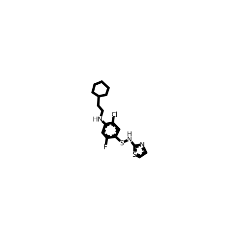 Fc1cc(NCCC2CCCCC2)c(Cl)cc1SNc1nccs1